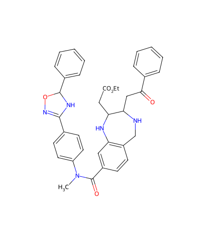 CCOC(=O)CC1Nc2cc(C(=O)N(C)c3ccc(C4=NOC(c5ccccc5)N4)cc3)ccc2CNC1CC(=O)c1ccccc1